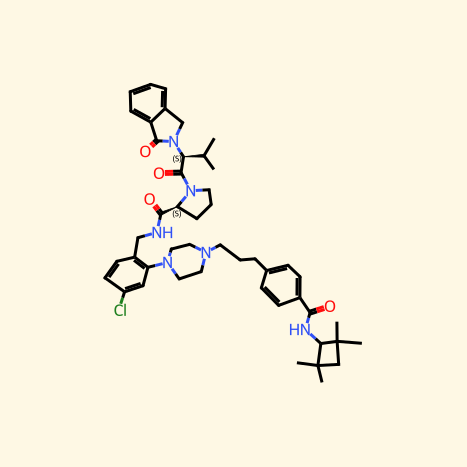 CC(C)[C@@H](C(=O)N1CCC[C@H]1C(=O)NCc1ccc(Cl)cc1N1CCN(CCCc2ccc(C(=O)NC3C(C)(C)CC3(C)C)cc2)CC1)N1Cc2ccccc2C1=O